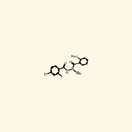 CCc1ccc(C(=O)NN(C(=O)c2ccccc2OC)C(C)(C)C)c(F)c1